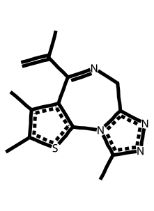 C=C(C)C1=NCc2nnc(C)n2-c2sc(C)c(C)c21